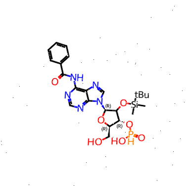 CC(C)(C)[Si](C)(C)OC1[C@H](n2cnc3c(NC(=O)c4ccccc4)ncnc32)O[C@H](CO)[C@H]1O[PH](=O)O